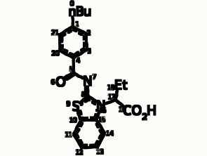 CCCCc1ccc(C(=O)/N=c2\sc3ccccc3n2C(CC)C(=O)O)cc1